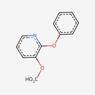 O=C(O)Oc1cccnc1Oc1ccccc1